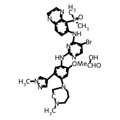 COc1cc(N2CCCN(C)CC2)c(-c2cnn(C)c2)cc1Nc1ncc(Br)c(Nc2ccc3nccnc3c2P(C)(C)=O)n1.O=CO